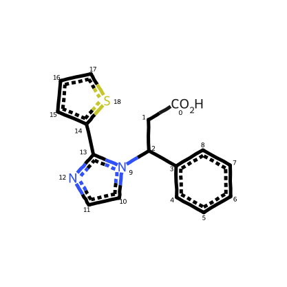 O=C(O)CC(c1ccccc1)n1ccnc1-c1cccs1